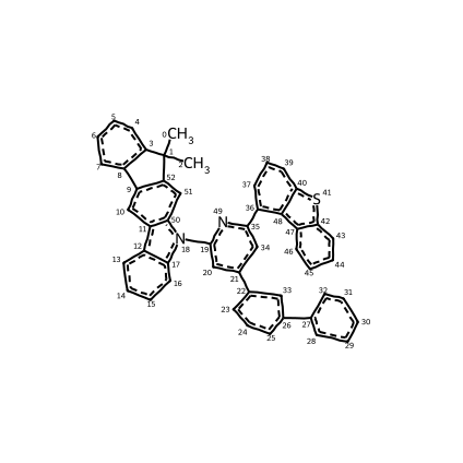 CC1(C)c2ccccc2-c2cc3c4ccccc4n(-c4cc(-c5cccc(-c6ccccc6)c5)cc(-c5cccc6sc7ccccc7c56)n4)c3cc21